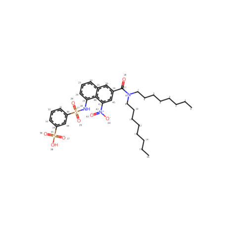 CCCCCCCCN(CCCCCCCC)C(=O)c1[c]c2cccc(NS(=O)(=O)c3cccc(S(=O)(=O)O)c3)c2c([N+](=O)[O-])c1